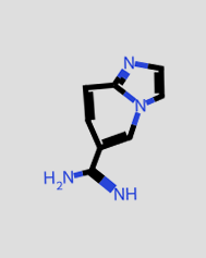 N=C(N)c1ccc2nccn2c1